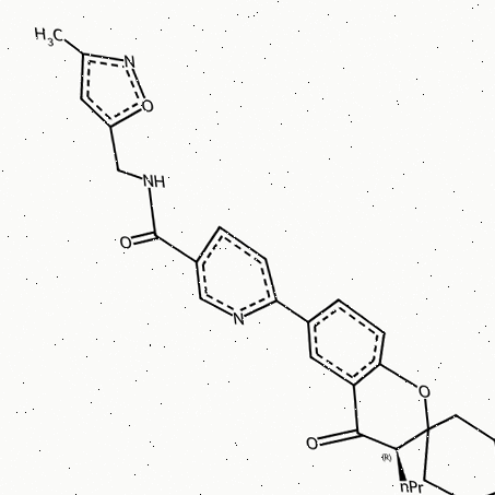 CCC[C@H]1C(=O)c2cc(-c3ccc(C(=O)NCc4cc(C)no4)cn3)ccc2OC12CCNCC2